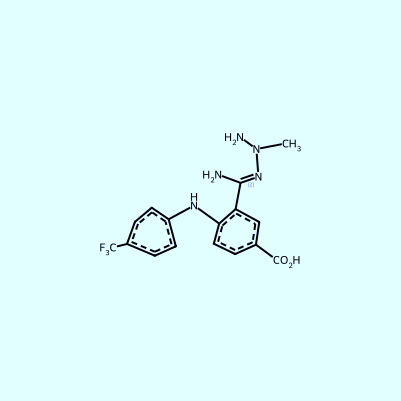 CN(N)/N=C(\N)c1cc(C(=O)O)ccc1Nc1ccc(C(F)(F)F)cc1